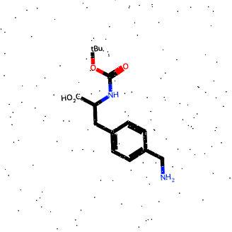 CC(C)(C)OC(=O)NC(Cc1ccc(CN)cc1)C(=O)O